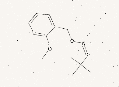 COc1ccccc1CO/N=[C]\C(C)(C)C